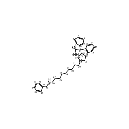 NC(=O)C(c1ccccc1)(c1ccccc1)[C@@H]1CCN(CCCCCCCCCNCc2ccccc2)C1